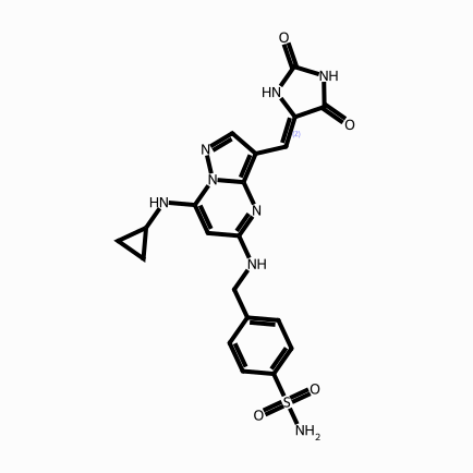 NS(=O)(=O)c1ccc(CNc2cc(NC3CC3)n3ncc(/C=C4\NC(=O)NC4=O)c3n2)cc1